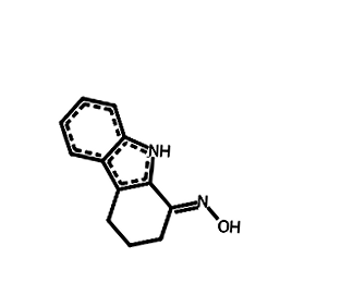 ON=C1CCCc2c1[nH]c1ccccc21